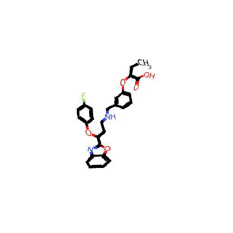 CCC(Oc1cccc(CNCCC(Oc2ccc(F)cc2)c2nc3ccccc3o2)c1)C(=O)O